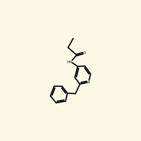 CCC(=O)Nc1ccnc(Cc2ccccc2)c1